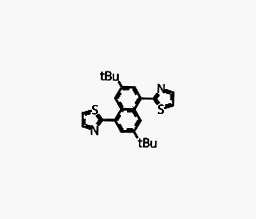 CC(C)(C)c1cc(-c2nccs2)c2cc(C(C)(C)C)cc(-c3nccs3)c2c1